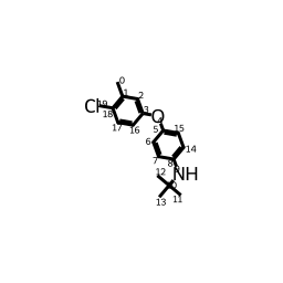 Cc1cc(Oc2ccc(NC(C)(C)C)cc2)ccc1Cl